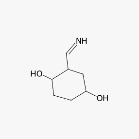 N=CC1CC(O)CCC1O